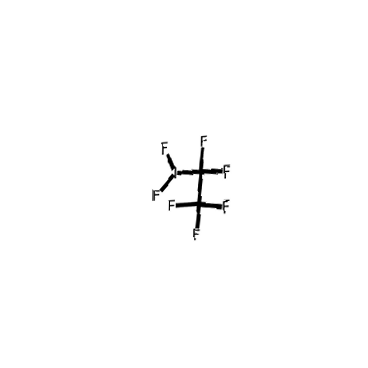 FI(F)C(F)(F)C(F)(F)F